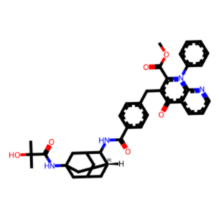 COC(=O)c1c(Cc2ccc(C(=O)NC3C4CC5C[C@@H]3CC(NC(=O)C(C)(C)O)(C5)C4)cc2)c(=O)c2cccnc2n1-c1ccccc1